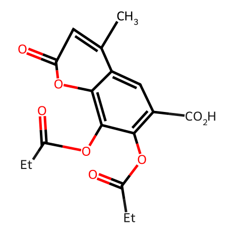 CCC(=O)Oc1c(C(=O)O)cc2c(C)cc(=O)oc2c1OC(=O)CC